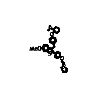 COc1ccc2c(Cc3ccc(O[C@@H]4CCCC[C@@H]4N(C)C)cc3)c(-c3ccc(OCCN4CCCC4)cc3)sc2c1